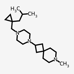 CC(C)CC1(CN2CCN(C3CC4(CCN(C)CC4)C3)CC2)CC1